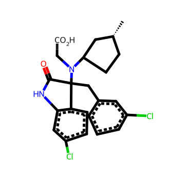 C[C@@H]1CCC(N(CC(=O)O)C2(Cc3cccc(Cl)c3)C(=O)Nc3cc(Cl)ccc32)C1